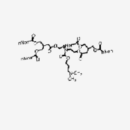 CCCCCCCCCC(=O)OCC(COC(=O)CCCCCCCCC)CC(=O)OCCN(CCOC(=O)CC(COC(=O)CCCCCCCCC)COC(=O)CCCCCCCCC)C(=O)OCCCN(C)C